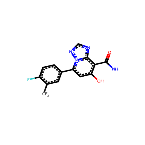 [NH]C(=O)c1c(O)cc(-c2ccc(F)c(C(F)(F)F)c2)n2ncnc12